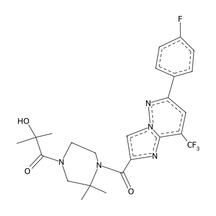 CC(C)(O)C(=O)N1CCN(C(=O)c2cn3nc(-c4ccc(F)cc4)cc(C(F)(F)F)c3n2)C(C)(C)C1